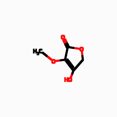 COC1=C(O)COC1=O